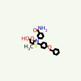 CC1(CCO)SC(c2ccc(OCc3ccccc3)cc2)N(c2cccc(C(N)=O)c2)C1=O